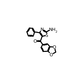 Nc1nc(-c2ccccc2)c(C(=O)c2ccc3c(c2)OCO3)s1